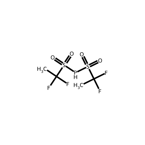 CC(F)(F)S(=O)(=O)PS(=O)(=O)C(C)(F)F